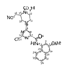 COc1cc(NC(=O)c2cc(N3CCN(C(=O)O)C(CC#N)C3)nc(Cl)n2)c2ccccc2c1